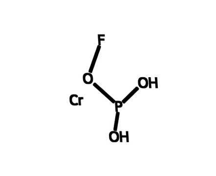 OP(O)OF.[Cr]